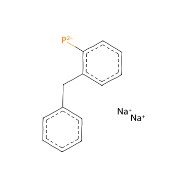 [Na+].[Na+].[P-2]c1ccccc1Cc1ccccc1